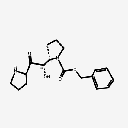 O=C(C1CCCN1)[C@@H](O)[C@@H]1CCCN1C(=O)OCc1ccccc1